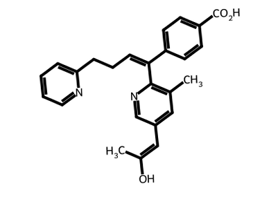 C/C(O)=C\c1cnc(/C(=C\CCc2ccccn2)c2ccc(C(=O)O)cc2)c(C)c1